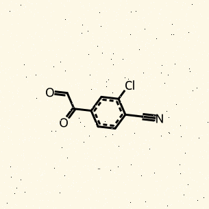 N#Cc1ccc(C(=O)C=O)cc1Cl